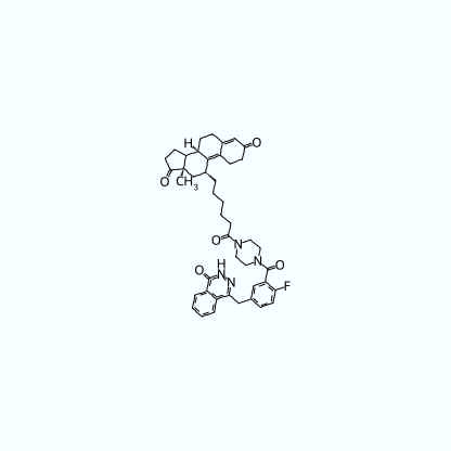 C[C@]12C[C@H](CCCCCC(=O)N3CCN(C(=O)c4cc(Cc5n[nH]c(=O)c6ccccc56)ccc4F)CC3)C3=C4CCC(=O)C=C4CC[C@H]3C1CCC2=O